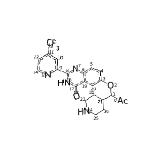 CC(=O)C(Oc1ccc2nc(-c3cc(C(F)(F)F)ccn3)[nH]c(=O)c2c1)C1CCNCC1